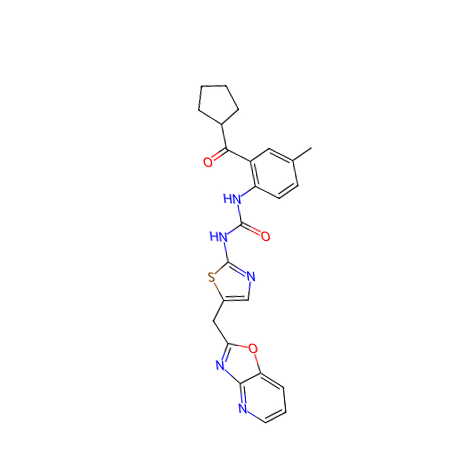 Cc1ccc(NC(=O)Nc2ncc(Cc3nc4ncccc4o3)s2)c(C(=O)C2CCCC2)c1